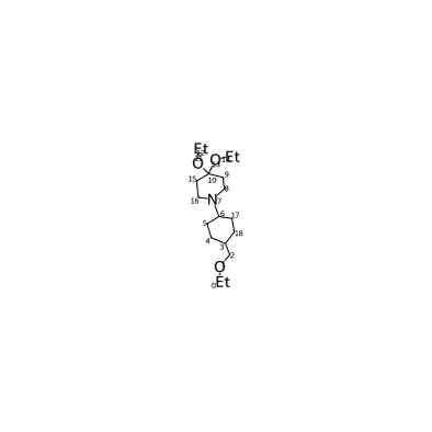 CCOCC1CCC(N2CCC(OCC)(OCC)CC2)CC1